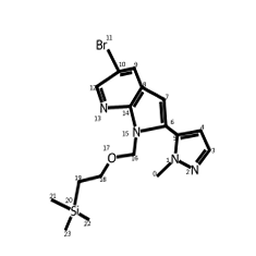 Cn1nccc1-c1cc2cc(Br)cnc2n1COCC[Si](C)(C)C